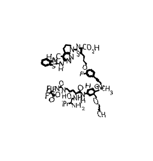 C#CCOCc1cc(NC(=O)C(CCCNC(N)=O)NC(=O)C(N)C(C)C)ccc1C[N+](C)(C)CC#Cc1ccc(OCCCc2sc(N3CCCc4c3nnc(Nc3nc5ccccc5s3)c4C)nc2C(=O)O)c(F)c1.O=C([O-])C(F)(F)F